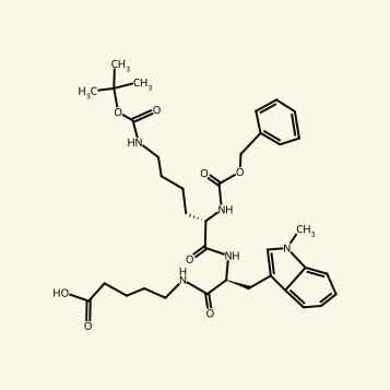 Cn1cc(C[C@H](NC(=O)[C@H](CCCCNC(=O)OC(C)(C)C)NC(=O)OCc2ccccc2)C(=O)NCCCCC(=O)O)c2ccccc21